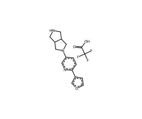 O=C(O)C(F)(F)F.c1cc(-c2ccc(N3CC4CNCC4C3)cn2)co1